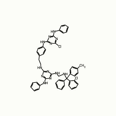 Cc1ccc(C(NCNc2nc(NCCc3ccc(Nc4nc(Cl)nc(Nc5ccccc5)n4)cc3)nc(Nc3ccccc3)n2)(c2ccccc2)c2ccccc2Cl)cc1